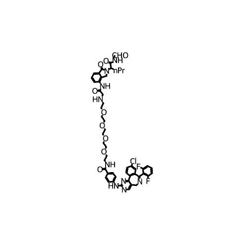 CCCC(C(=O)NC=O)N1Cc2c(NC(=O)CNCCOCCOCCOCCOCCNC(=O)c3ccc(Nc4ncc5c(n4)-c4ccc(Cl)cc4C(c4c(F)cccc4F)=NC5)cc3)cccc2C1=O